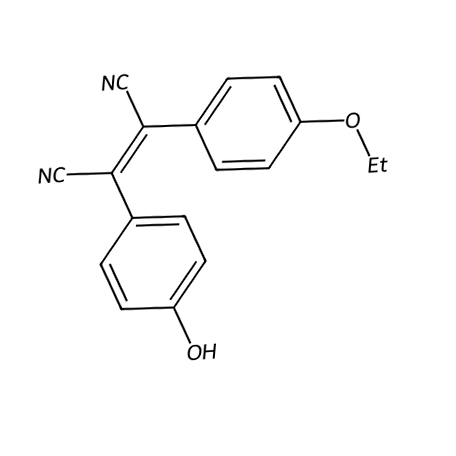 CCOc1ccc(C(C#N)=C(C#N)c2ccc(O)cc2)cc1